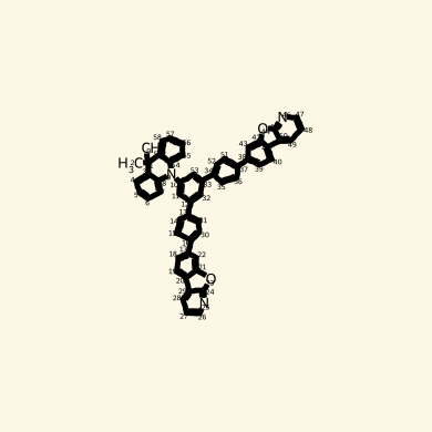 CC1(C)c2ccccc2N(c2cc(-c3ccc(-c4ccc5c(c4)oc4ncccc45)cc3)cc(-c3ccc(-c4ccc5c(c4)oc4ncccc45)cc3)c2)c2ccccc21